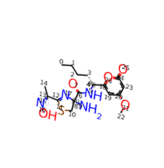 CCCC[C@@H](NC(=O)[C@]1(N)CSC(/C(C)=N\O)=N1)c1cc(OC)cc(=O)o1